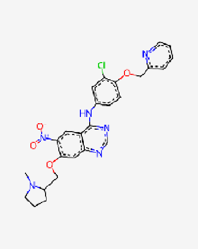 CN1CCCC1COc1cc2ncnc(Nc3ccc(OCc4ccccn4)c(Cl)c3)c2cc1[N+](=O)[O-]